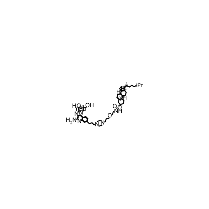 CCCCc1nc2c(N)nc3cc(CCCN4CCN(CCCOCCNC(=O)O[C@H]5CC[C@@]6(C)C(=CC[C@H]7[C@@H]8CC[C@H]([C@H](C)CCCC(C)C)[C@@]8(C)CC[C@@H]76)C5)CC4)ccc3c2n1CC(C)(CO)CO